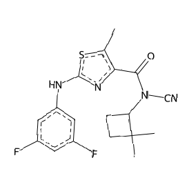 Cc1sc(Nc2cc(F)cc(F)c2)nc1C(=O)N(C#N)C1CCC1(C)C